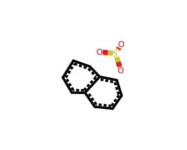 O=S(=O)=O.c1ccc2ccccc2c1